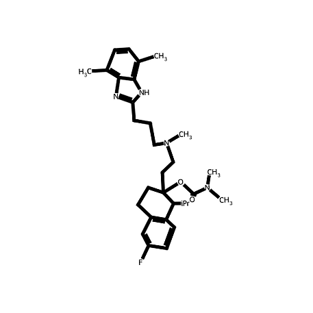 Cc1ccc(C)c2[nH]c(CCCN(C)CCC3(OC(=O)N(C)C)CCc4cc(F)ccc4C3C(C)C)nc12